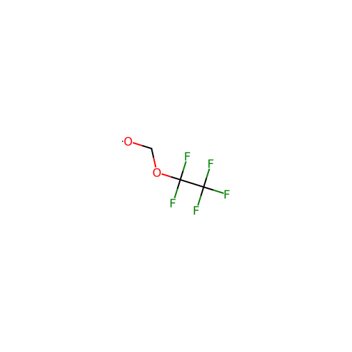 [O]COC(F)(F)C(F)(F)F